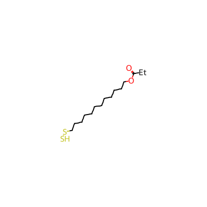 CCC(=O)OCCCCCCCCCCCCSS